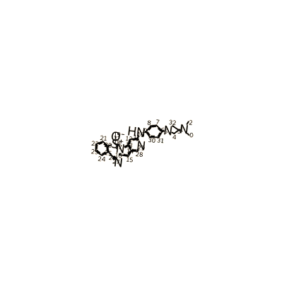 CN(C)C1CN(c2ccc(Nc3cc4c(ccn4[S+]([O-])c4ccccc4C#N)cn3)cc2)C1